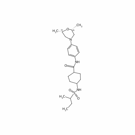 CCC(C)S(=O)(=O)NC1CCC(C(=O)Nc2ccc(N3C[C@@H](C)O[C@@H](C)C3)cc2)CC1